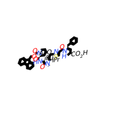 CC[C@H](C)[C@H](NC(=O)[C@H]1CCCCN1C(=O)OCC1c2ccccc2-c2ccccc21)C(=O)N(C)[C@H](C[C@@H](OC(C)=O)c1nc(C(=O)N[C@@H](Cc2ccccc2)C[C@H](C)C(=O)O)cs1)C(C)C